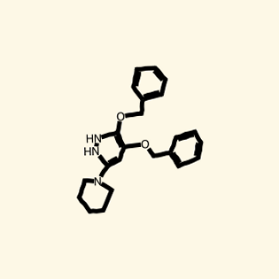 C1=C(N2CCCCC2)NNC(OCc2ccccc2)=C1OCc1ccccc1